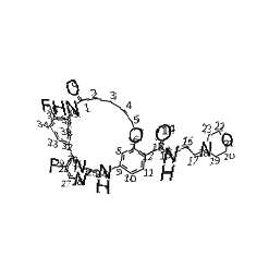 O=C1CCCCOc2cc(ccc2C(=O)NCCN2CCOCC2)Nc2ncc(F)c(n2)-c2ccc(F)c(c2)N1